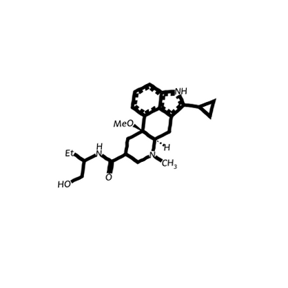 CCC(CO)NC(=O)C1CN(C)[C@@H]2Cc3c(C4CC4)[nH]c4cccc(c34)[C@@]2(OC)C1